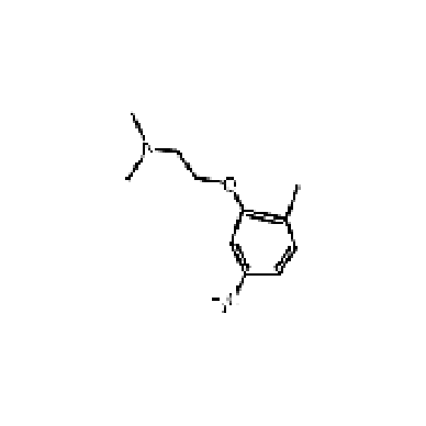 Cc1ccc(C(F)(F)F)cc1OCCN(C)C